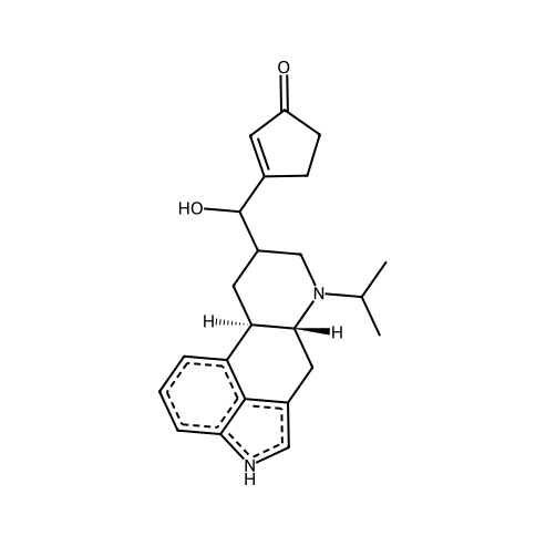 CC(C)N1CC(C(O)C2=CC(=O)CC2)C[C@@H]2c3cccc4[nH]cc(c34)C[C@H]21